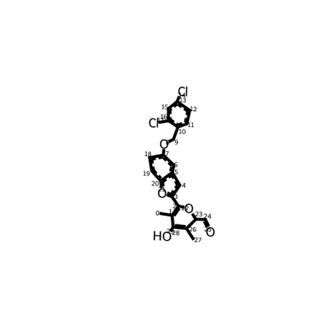 CC1=C(c2cc3cc(OCc4ccc(Cl)cc4Cl)ccc3o2)OC(C=O)C(C)=C1O